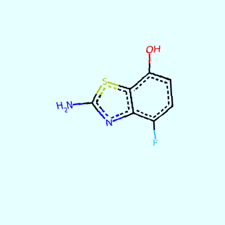 Nc1nc2c(F)ccc(O)c2s1